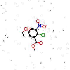 CCO.COC(=O)c1cccc([N+](=O)[O-])c1Cl